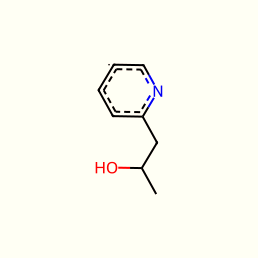 CC(O)Cc1cc[c]cn1